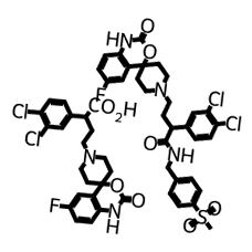 CS(=O)(=O)c1ccc(CNC(=O)C(CCN2CCC3(CC2)OC(=O)Nc2ccc(F)cc23)c2ccc(Cl)c(Cl)c2)cc1.O=C1Nc2ccc(F)cc2C2(CCN(CCC(C(=O)O)c3ccc(Cl)c(Cl)c3)CC2)O1